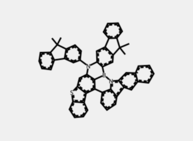 CC1(C)c2ccccc2-c2cc(N3c4cc5c(cc4B4c6c3cc3sc7ccccc7c3c6-c3cccc6c7cc8ccccc8cc7n4c36)C(C)(C)c3ccccc3-5)ccc21